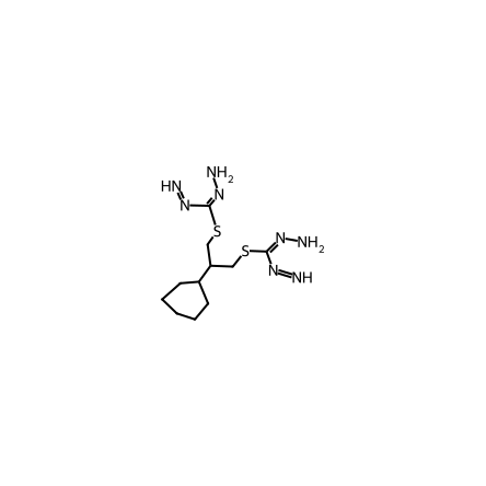 N=NC(=NN)SCC(CSC(N=N)=NN)C1CCCCC1